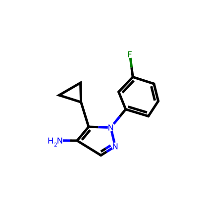 Nc1cnn(-c2cccc(F)c2)c1C1CC1